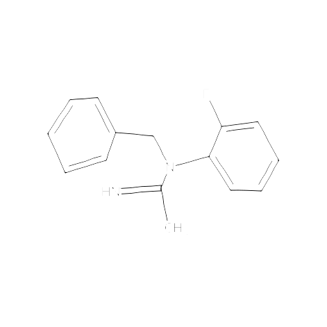 CC(=N)N(Cc1ccccc1)c1ccccc1F